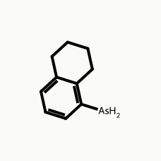 [AsH2]c1cccc2c1CCCC2